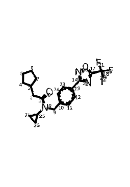 O=C(CC1CCCC1)N(Cc1ccc(-c2noc(C(F)(F)F)n2)cc1)C1CC1